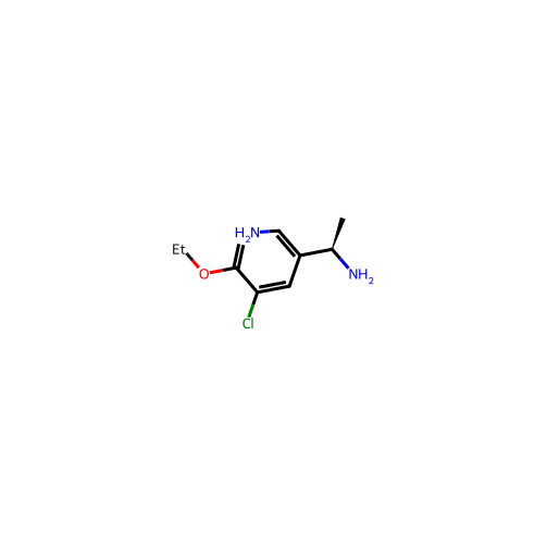 C=C(OCC)/C(Cl)=C\C(=C/N)[C@@H](C)N